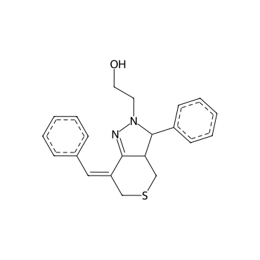 OCCN1N=C2/C(=C\c3ccccc3)CSCC2C1c1ccccc1